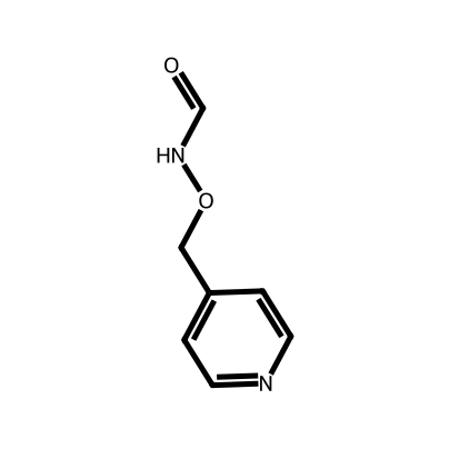 O=CNOCc1ccncc1